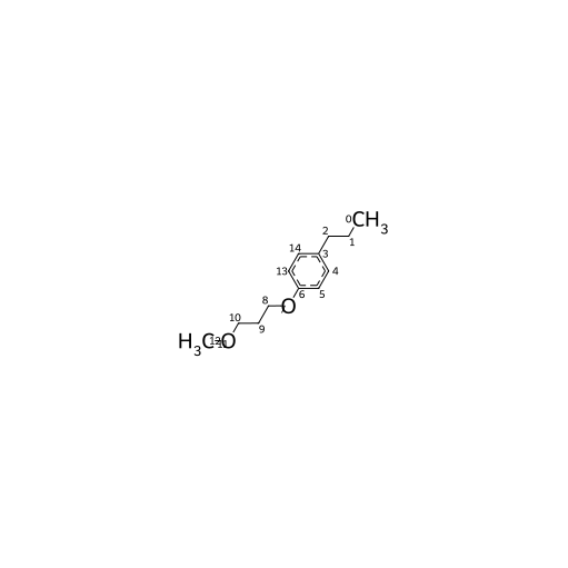 CCCc1ccc(OCCCOC)cc1